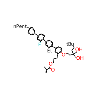 C=C(C)C(=O)OCCCc1cc(-c2ccc(-c3ccc(-c4ccc(CCCCC)cc4)cc3F)cc2CC)ccc1OCCC(CO)(CO)CCC(C)(C)C